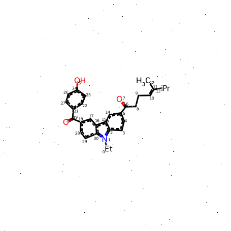 CCn1c2ccc(C(=O)CCC=C(C)C(C)C)cc2c2cc(C(=O)c3ccc(O)cc3)ccc21